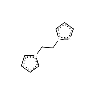 c1ccn(CCn2cccn2)c1